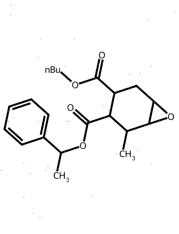 CCCCOC(=O)C1CC2OC2C(C)C1C(=O)OC(C)c1ccccc1